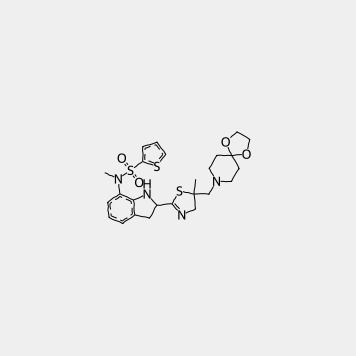 CN(c1cccc2c1NC(C1=NCC(C)(CN3CCC4(CC3)OCCO4)S1)C2)S(=O)(=O)c1cccs1